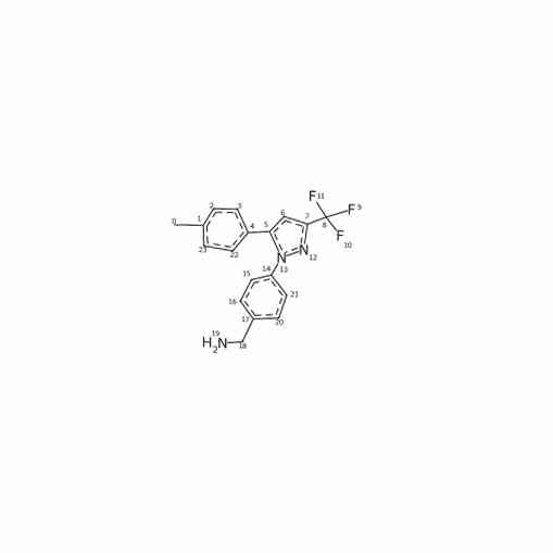 Cc1ccc(-c2cc(C(F)(F)F)nn2-c2ccc(CN)cc2)cc1